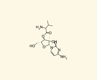 CC(C)C(N)C(=O)O[C@@H]1[C@@H](CO)O[C@@H](n2ccc(N)nc2=O)[C@]1(C)O